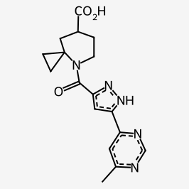 Cc1cc(-c2cc(C(=O)N3CCC(C(=O)O)CC34CC4)n[nH]2)ncn1